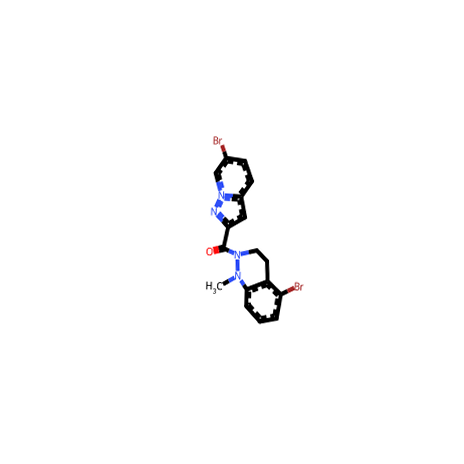 CN1c2cccc(Br)c2CCN1C(=O)c1cc2ccc(Br)cn2n1